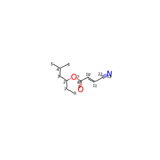 CCC(CC(C)C)OC(=O)C=CC#N